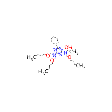 CCCCOCN(COCCCC)c1nc(C2CCCCC2)nc(N(COCCCC)C(C)O)n1